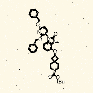 Cn1c(=O)n(-c2ccc(OCc3ccccc3)nc2OCc2ccccc2)c2cccc(OC3CC4(CCN(C(=O)OC(C)(C)C)CC4)C3)c21